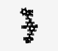 Cc1[nH]c2ccccc2c1CCN(CCO)Cc1ccc(CCC(=O)NO)cc1F